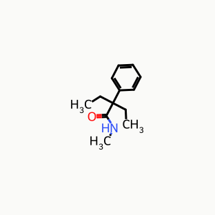 CCC(CC)(C(=O)NC)c1ccccc1